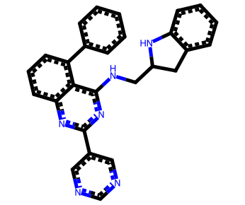 c1ccc(-c2cccc3nc(-c4cncnc4)nc(NCC4Cc5ccccc5N4)c23)cc1